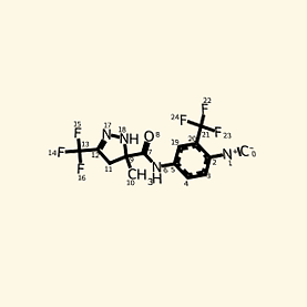 [C-]#[N+]c1ccc(NC(=O)C2(C)CC(C(F)(F)F)=NN2)cc1C(F)(F)F